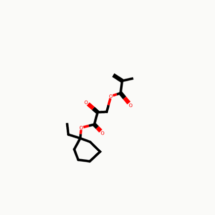 C=C(C)C(=O)OCC(=O)C(=O)OC1(CC)CCCCC1